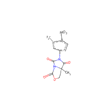 CC12COC(=O)N1C(=O)N(c1ccc([N+](=O)[O-])c(C(F)(F)F)c1)C2=O